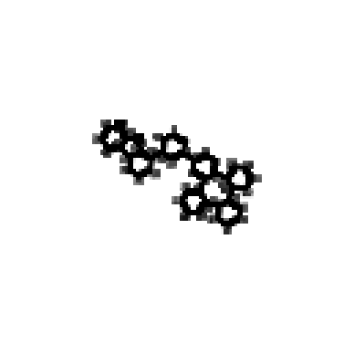 c1cc(-c2ccc3c(c2)-c2ccccc2-c2ccccc2-c2ccccc2-3)cc(-c2cccc3c2oc2ncccc23)c1